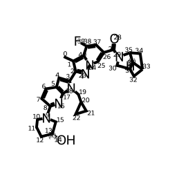 Cc1c(-c2cc3ccc(N4CCC[C@@H](O)C4)nc3n2CC2CC2)nn2cc(C(=O)N3CC4CC5CC3[C@H]54)cc(F)c12